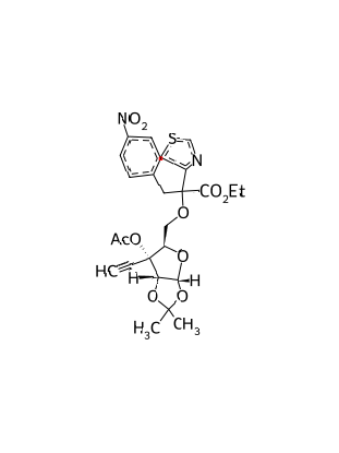 C#C[C@@]1(OC(C)=O)[C@@H](COC(Cc2ccc([N+](=O)[O-])cc2)(C(=O)OCC)c2cscn2)O[C@@H]2OC(C)(C)O[C@@H]21